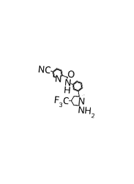 C[C@@]1(c2cccc(NC(=O)c3ccc(C#N)cn3)c2)C[C@H](C(F)(F)F)CC(N)=N1